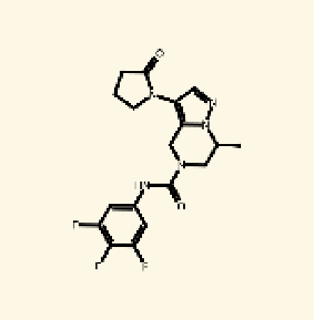 C[C@H]1CN(C(=O)Nc2cc(F)c(F)c(F)c2)Cc2c(N3CCCC3=O)cnn21